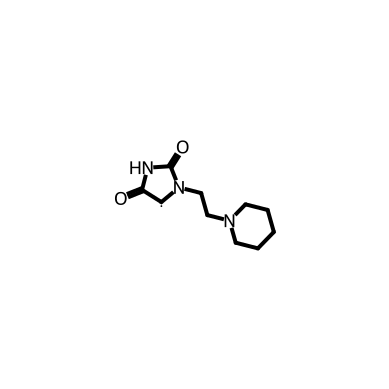 O=C1[CH]N(CCN2CCCCC2)C(=O)N1